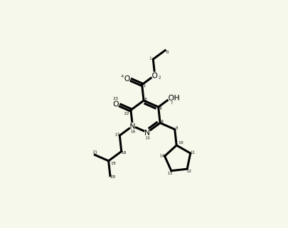 CCOC(=O)c1c(O)c(CC2CCCC2)nn(CCC(C)C)c1=O